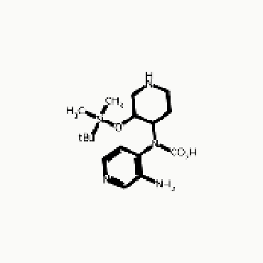 CC(C)(C)[Si](C)(C)OC1CNCCC1N(C(=O)O)c1ccncc1N